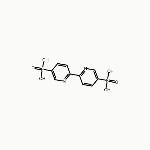 O=P(O)(O)c1ccc(-c2ccc(P(=O)(O)O)cn2)nc1